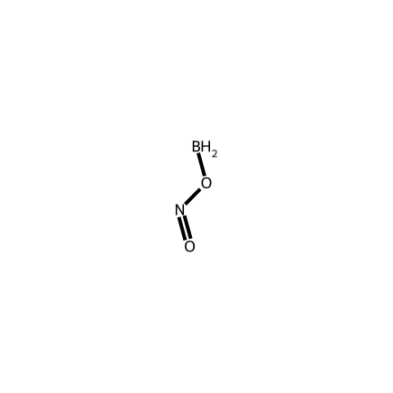 BON=O